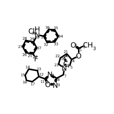 CC(=O)OC1C[N+]2(Cc3noc(C4CCCCC4)n3)CCC1CC2.Fc1cccc(Nc2ccccc2)c1.[Cl-]